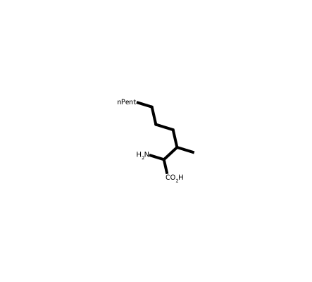 CCCCCCCCC(C)C(N)C(=O)O